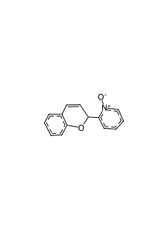 [O-][n+]1ccccc1C1C=Cc2ccccc2O1